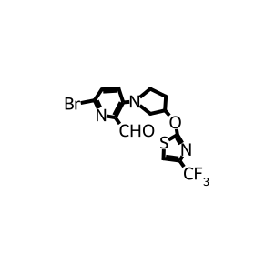 O=Cc1nc(Br)ccc1N1CCC(Oc2nc(C(F)(F)F)cs2)C1